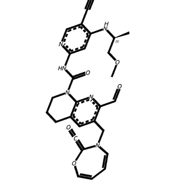 COC[C@H](C)Nc1cc(NC(=O)N2CCCc3cc(CN4C=CC=COC4=C=O)c(C=O)nc32)ncc1C#N